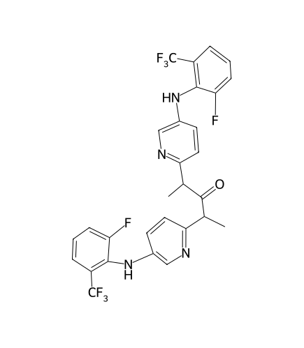 CC(C(=O)C(C)c1ccc(Nc2c(F)cccc2C(F)(F)F)cn1)c1ccc(Nc2c(F)cccc2C(F)(F)F)cn1